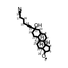 COC1CC[C@H]2[C@@H]3CCC4CC(O)(C#CCCCC#N)CC[C@]4(C)[C@@H]3CC[C@]12C